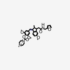 COc1ccc2c(c1)C(CC(=O)NCc1ccco1)C(C)/C2=C/c1cc(OC)c(OC(=O)N2CCN(C)CC2)c(OC)c1